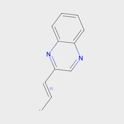 [CH2]/C=C/c1cnc2ccccc2n1